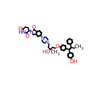 CCC(=C(c1ccc(O)cc1)c1ccc(OCCC(C)(O)CCN2CCN(c3ccc4c(c3)CN(C3CCC(=O)NC3=O)C4=O)CC2)cc1)c1ccccc1